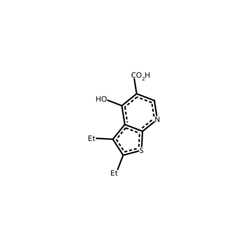 CCc1sc2ncc(C(=O)O)c(O)c2c1CC